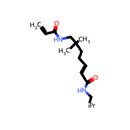 C=CC(=O)NCC(C)(C)CC/C=C/C(=O)NCC(C)C